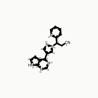 N#CCC(c1ccccn1)n1cc(-c2ncnc3[nH]ccc23)cn1